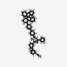 N#Cc1ccc2sc3ccc(-c4nc(-c5ccccc5)nc(-c5ccc(-c6ccc(-c7cccc8c7-c7ccccc7C87c8ccccc8-c8ccccc87)cc6)cc5)n4)cc3c2c1